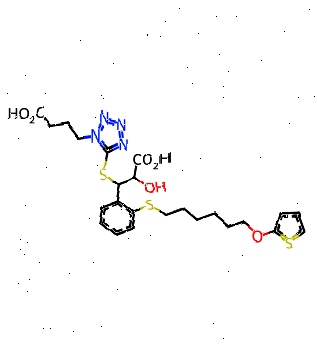 O=C(O)CCCn1nnnc1SC(c1ccccc1SCCCCCCOc1cccs1)C(O)C(=O)O